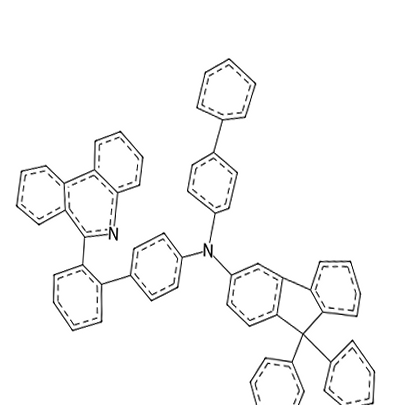 c1ccc(-c2ccc(N(c3ccc(-c4ccccc4-c4nc5ccccc5c5ccccc45)cc3)c3ccc4c(c3)-c3ccccc3C4(c3ccccc3)c3ccccc3)cc2)cc1